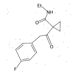 CCNC(=O)C1(C(=O)Cc2ccc(F)cc2)CC1